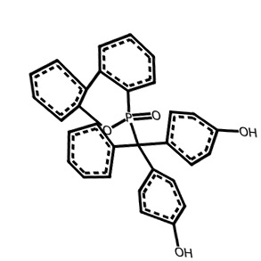 O=P1(C(c2ccccc2)(c2ccc(O)cc2)c2ccc(O)cc2)Oc2ccccc2-c2ccccc21